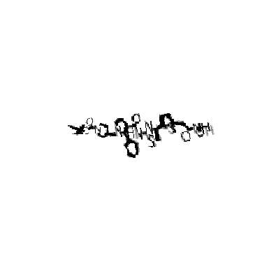 CC(C)(C)OC(=O)N1CCC(Cn2ccc(C(=O)Nc3nc(-c4ccc(CC(=O)NO)s4)cs3)c2-c2ccccc2)CC1